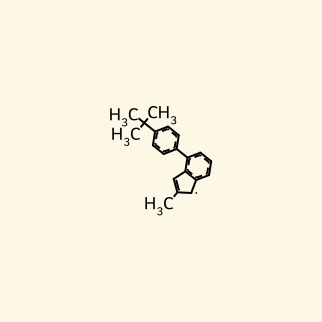 CC1=Cc2c(cccc2-c2ccc(C(C)(C)C)cc2)[CH]1